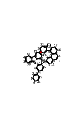 c1ccc(-c2ccc(N(c3ccc4ccc5ccc6oc7ccccc7c6c5c4c3)c3cccc4c3sc3ccccc34)cc2)cc1